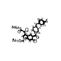 CNC(=O)C(=O)c1cn(COC)c2cc(Cl)c(C(=O)N3CCC(Cc4ccc(F)cc4)CC3)cc12